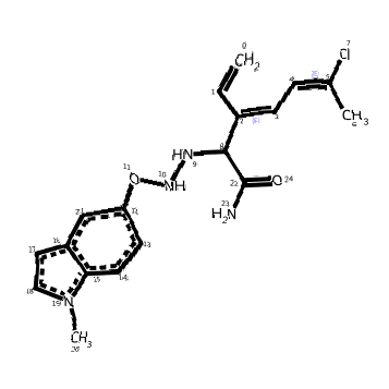 C=C/C(=C\C=C(/C)Cl)C(NNOc1ccc2c(ccn2C)c1)C(N)=O